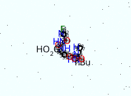 CCCCNC(=O)[C@H](Cc1ccccc1)NC(=O)COc1ccc(C[C@H](NC(=O)CNC(=O)c2ccc(F)nc2)C(=O)O)cc1